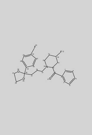 O=C(c1ccccc1)C1CC(F)CCN1CCCC1(c2ccc(F)cc2)OCCO1